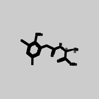 CC[C@H](C)[C@H](NC(=O)Cc1cc(C)cc(C)c1OC)C(=O)OC